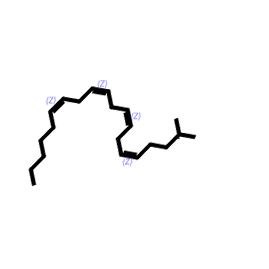 CCCCC/C=C\C/C=C\C/C=C\C/C=C\CC[C](C)C